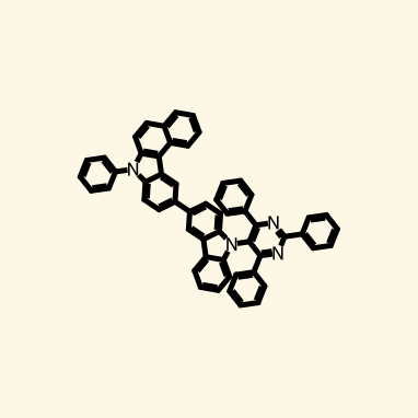 c1ccc(-c2nc(-c3ccccc3)c(-n3c4ccccc4c4cc(-c5ccc6c(c5)c5c7ccccc7ccc5n6-c5ccccc5)ccc43)c(-c3ccccc3)n2)cc1